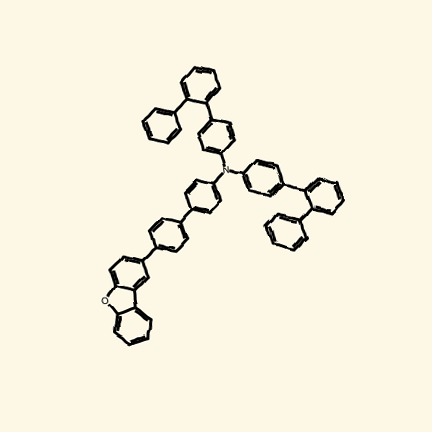 c1ccc(-c2ccccc2-c2ccc(N(c3ccc(-c4ccc(-c5ccc6oc7ccccc7c6c5)cc4)cc3)c3ccc(-c4ccccc4-c4ccccc4)cc3)cc2)cc1